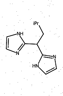 CC(C)CC(c1ncc[nH]1)c1ncc[nH]1